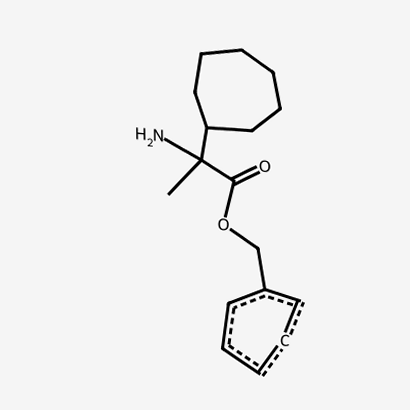 CC(N)(C(=O)OCc1ccccc1)C1CCCCCC1